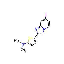 CN(C)c1ccc(-c2cn3ccc(I)cc3n2)s1